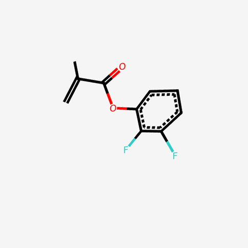 C=C(C)C(=O)Oc1cccc(F)c1F